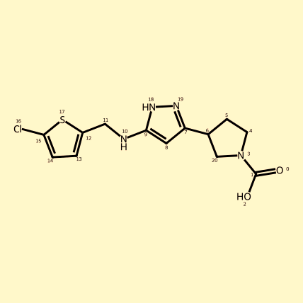 O=C(O)N1CCC(c2cc(NCc3ccc(Cl)s3)[nH]n2)C1